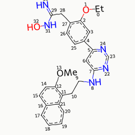 CCOc1cc(-c2cc(NCCc3c(OC)ccc4ccccc34)ncn2)ccc1CC(=N)NO